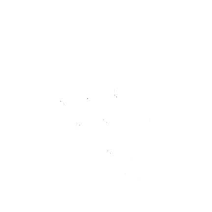 FC1(F)CCC(Nc2nc(NC3CCC(c4ccccc4)C3)nc(-c3cccc(C(F)(F)F)n3)n2)C1